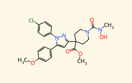 COC(=O)C1(c2cc(-c3ccc(OC)cc3)n(-c3ccc(Cl)cc3)n2)CCN(C(=O)N(C)O)CC1